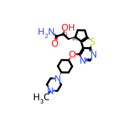 CN1CCN([C@H]2CC[C@H](Oc3ncnc4sc5c(c34)[C@@H](C[C@H](O)C(N)=O)CC5)CC2)CC1